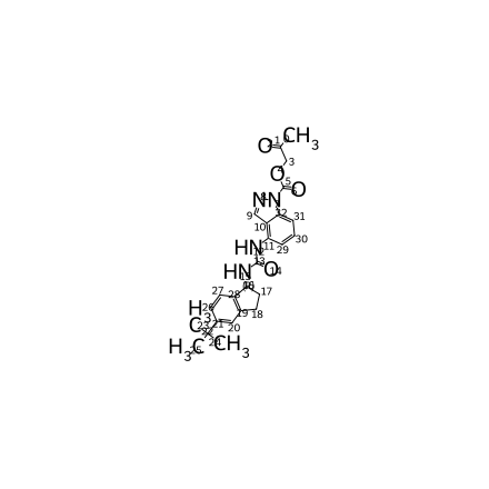 CC(=O)COC(=O)n1ncc2c(NC(=O)N[C@@H]3CCc4cc(C(C)(C)C)ccc43)cccc21